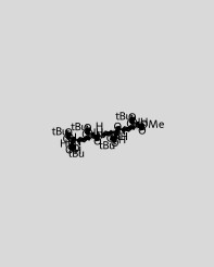 COC(=O)[C@H](CCCCNC(=O)[C@H](CCCCNC(=O)[C@H](CCCCNC(=NC(=O)OC(C)(C)C)NC(=O)OC(C)(C)C)NC(=O)OC(C)(C)C)NC(=O)OC(C)(C)C)NC(=O)OC(C)(C)C